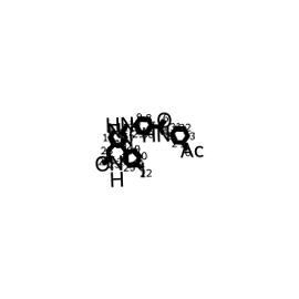 CC(=O)C1C=C(NC(=O)c2ccc(Nc3ncc4c(n3)-c3ccc(I)cc3NC(=O)C4)cc2)C=CC1